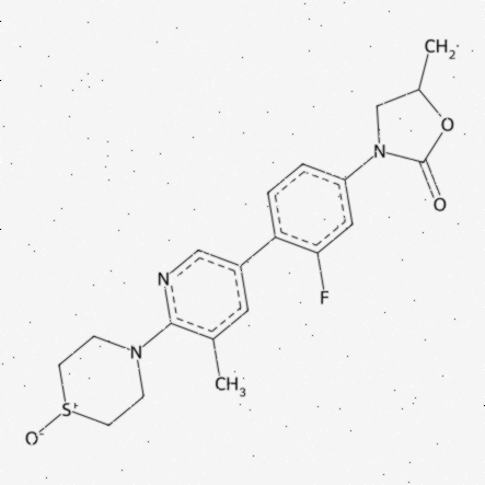 [CH2]C1CN(c2ccc(-c3cnc(N4CC[S+]([O-])CC4)c(C)c3)c(F)c2)C(=O)O1